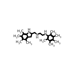 Cc1c(C)c(C)c(NCCNCC2Cc3c(C)c(C)c(C)c(C)c3N2)c(C)c1C